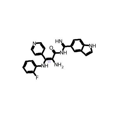 N=C(NC(=O)/C(N)=C(/Nc1ccccc1F)c1ccncc1)c1ccc2[nH]ccc2c1